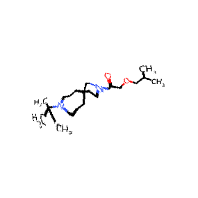 CC(C)COCC(=O)N1CC2(CCN(C(C)(C)C)CC2)C1